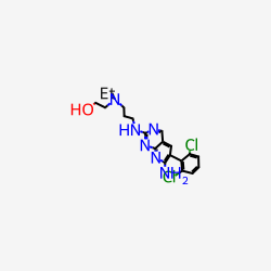 CCN(CCO)CCCNc1ncc2cc(-c3c(Cl)cccc3Cl)c(N)nc2n1